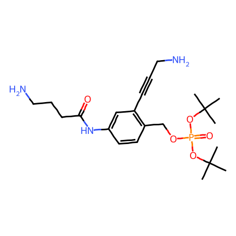 CC(C)(C)OP(=O)(OCc1ccc(NC(=O)CCCN)cc1C#CCN)OC(C)(C)C